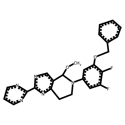 COC1c2cnc(-c3ncccn3)nc2CCN1c1cc(F)c(F)c(OCc2ccccc2)c1